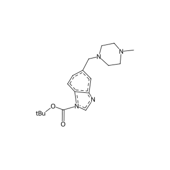 CN1CCN(Cc2ccc3c(c2)ncn3C(=O)OC(C)(C)C)CC1